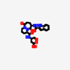 O=CC(CC(=O)O)NC(=O)C1CCCN2C(=O)CCC(NC(=O)c3cc4ccccc4[nH]3)C(=O)N12